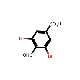 O=Cc1c(Br)cc(S(=O)(=O)O)cc1Br